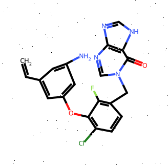 C=Cc1cc(N)cc(Oc2c(Cl)ccc(Cn3cnc4nc[nH]c4c3=O)c2F)c1